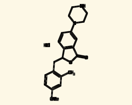 COc1ccc(CC2OC(=O)c3cc(N4CCNCC4)ccc32)c(C)c1.Cl